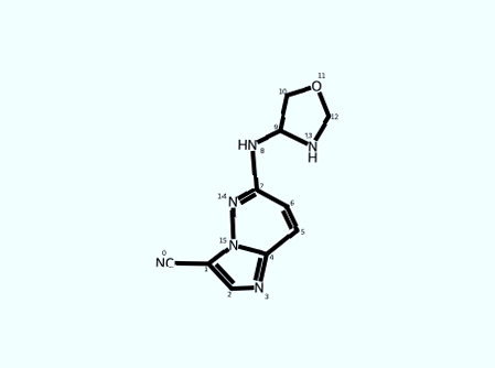 N#Cc1cnc2ccc(NC3COCN3)nn12